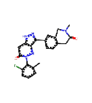 Cc1cccc(F)c1-n1nc2c(-c3ccc4c(c3)CN(C)C(=O)C4)n[nH]c2cc1=O